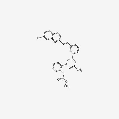 COC(=O)Cc1ccccc1CC[C@@H](SC(C)=O)c1cccc(/C=C/c2ccc3ccc(Cl)cc3n2)c1